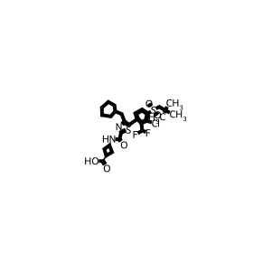 CC(C)(C)CS(=O)(=O)c1ccc(-c2sc(C(=O)N[C@H]3C[C@H](C(=O)O)C3)nc2CC2CCCCC2)c(C(F)F)c1Cl